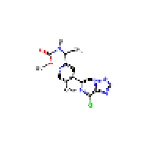 CCN(C(=O)OC(C)(C)C)C(C)c1cc(-c2cn3ncnc3c(Cl)n2)c(OC)cn1